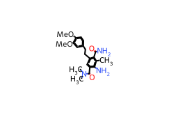 COc1ccc(CCc2cc(C(=O)N(C)C)c(N)c(C)c2C(N)=O)cc1OC